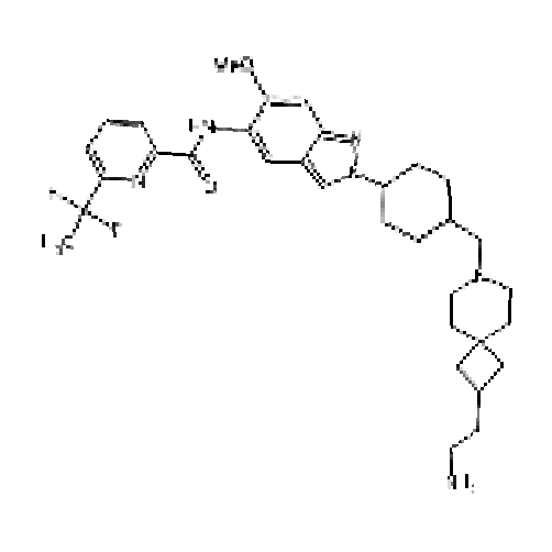 COc1cc2nn(C3CCC(CN4CCC5(CC4)CC(CCN)C5)CC3)cc2cc1NC(=O)c1cccc(C(C)(F)F)n1